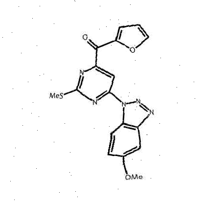 COc1ccc2c(c1)nnn2-c1cc(C(=O)c2ccco2)nc(SC)n1